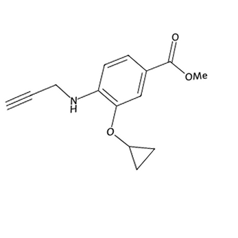 C#CCNc1ccc(C(=O)OC)cc1OC1CC1